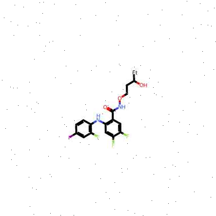 CCC(O)CCONC(=O)c1cc(F)c(F)cc1Nc1ccc(I)cc1F